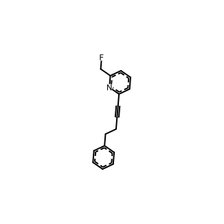 FCc1cccc(C#CCCc2ccccc2)n1